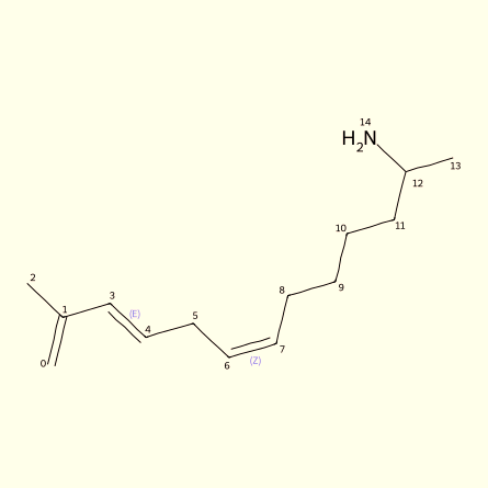 C=C(C)/C=C/C/C=C\CCCCC(C)N